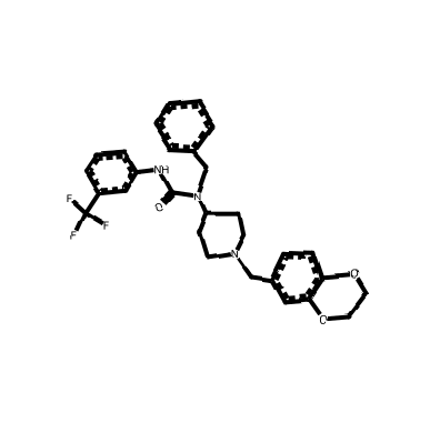 O=C(Nc1cccc(C(F)(F)F)c1)N(Cc1ccccc1)C1CCN(Cc2ccc3c(c2)OCCO3)CC1